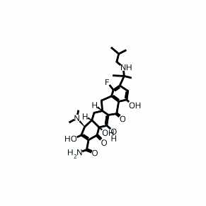 CC(C)CNC(C)(C)c1cc(O)c2c(c1F)C[C@H]1C[C@H]3[C@H](N(C)C)C(O)=C(C(N)=O)C(=O)[C@@]3(O)C(O)=C1C2=O